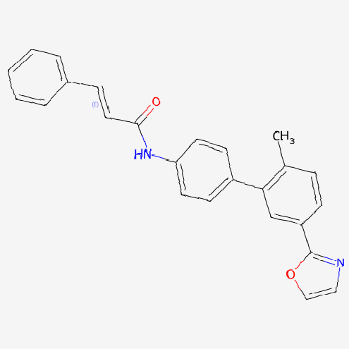 Cc1ccc(-c2ncco2)cc1-c1ccc(NC(=O)/C=C/c2ccccc2)cc1